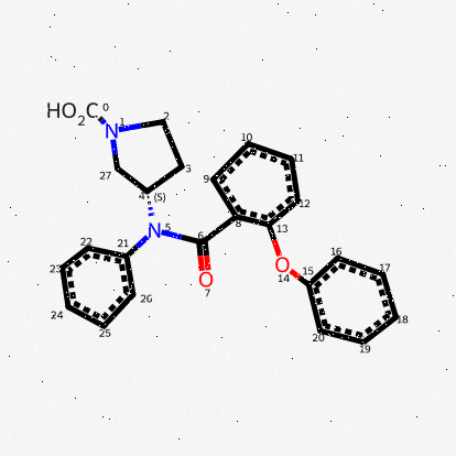 O=C(O)N1CC[C@H](N(C(=O)c2ccccc2Oc2ccccc2)c2ccccc2)C1